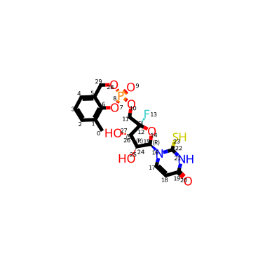 Cc1cccc2c1OP(=O)(OC[C@@]1(F)O[C@@H](N3C=CC(=O)NC3S)[C@H](O)[C@@H]1O)OC2